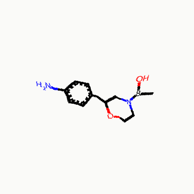 CB(O)N1CCOC(c2ccc(N)cc2)C1